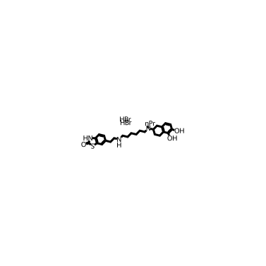 Br.Br.CCCN(CCCCCCNCCc1ccc2[nH]c(=O)sc2c1)C1CCc2c(ccc(O)c2O)C1